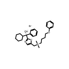 C[N+](C)(CCCCOc1ccccc1)Cc1cnc([C@](O)(c2ccccc2)C2CCCCC2)o1.[Br-]